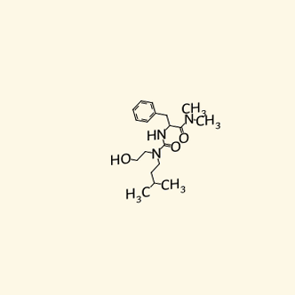 CC(C)CCN(CCO)C(=O)NC(Cc1ccccc1)C(=O)N(C)C